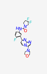 O=C(Nc1ccc(F)c(-c2ccn3c(N4CCOCC4)cnc3n2)c1)N1CCC(F)(F)C1